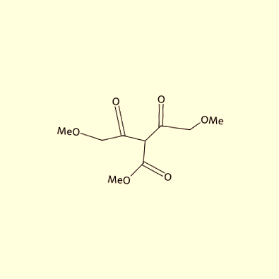 COCC(=O)C(C(=O)COC)C(=O)OC